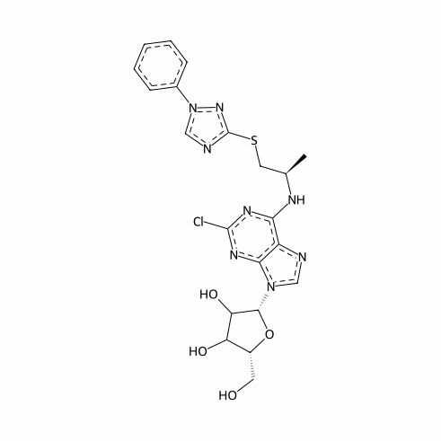 C[C@H](CSc1ncn(-c2ccccc2)n1)Nc1nc(Cl)nc2c1ncn2[C@@H]1O[C@H](CO)C(O)C1O